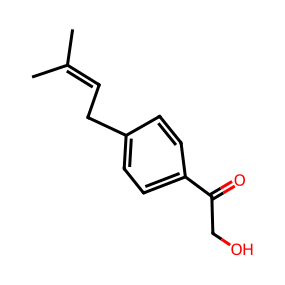 CC(C)=CCc1ccc(C(=O)CO)cc1